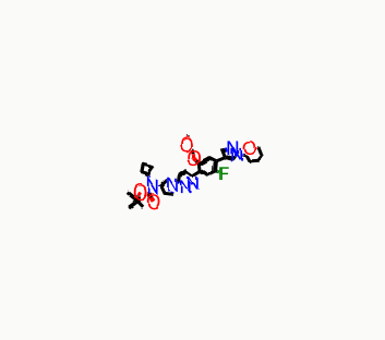 COCOc1cc(-c2cnn(C3CCCCO3)c2)c(F)cc1-c1ccc(N2CC[C@H](N(C(=O)OC(C)(C)C)C3CCC3)C2)nn1